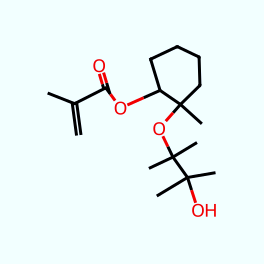 C=C(C)C(=O)OC1CCCCC1(C)OC(C)(C)C(C)(C)O